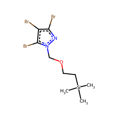 C[Si](C)(C)CCOCn1nc(Br)c(Br)c1Br